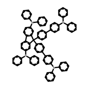 c1ccc(N(c2ccccc2)c2ccc(-c3ccc(C4(c5ccc(-c6ccc(N(c7ccccc7)c7ccccc7)cc6)cc5)c5cc(N(c6ccccc6)c6ccccc6)ccc5-c5ccc(N(c6ccccc6)c6ccccc6)cc54)cc3)cc2)cc1